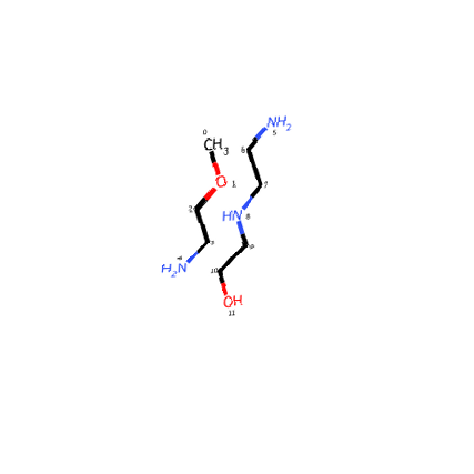 COCCN.NCCNCCO